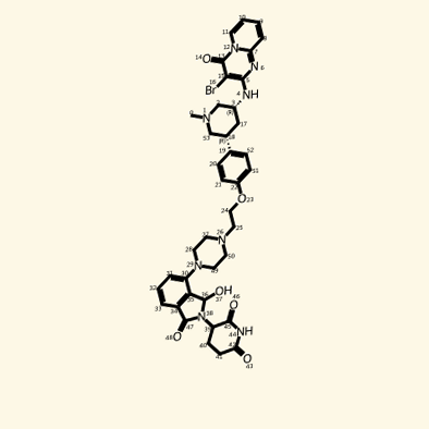 CN1C[C@H](Nc2nc3ccccn3c(=O)c2Br)C[C@H](c2ccc(OCCN3CCN(c4cccc5c4C(O)N(C4CCC(=O)NC4=O)C5=O)CC3)cc2)C1